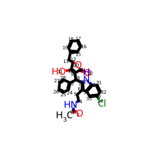 CC(=O)NCCc1c(C(C2=C(O)C(Cc3ccccc3)OC2=O)c2ccccc2)[nH]c2ccc(Cl)cc12